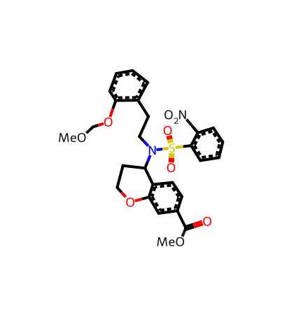 COCOc1ccccc1CCN(C1CCOc2cc(C(=O)OC)ccc21)S(=O)(=O)c1ccccc1[N+](=O)[O-]